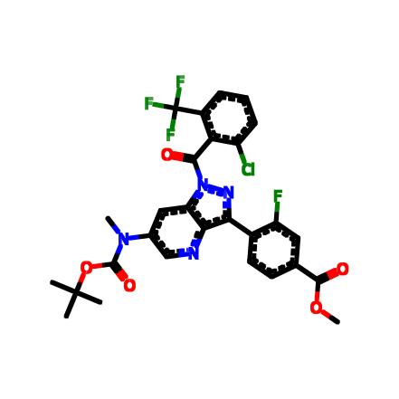 COC(=O)c1ccc(-c2nn(C(=O)c3c(Cl)cccc3C(F)(F)F)c3cc(N(C)C(=O)OC(C)(C)C)cnc23)c(F)c1